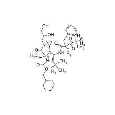 CC[C@]1(C(=O)NCC(O)CO)N(C(=O)OCC2CCCCC2)C(C(C)(C)C)=C(NC(=O)C(C)(Cc2ccccc2)S(=O)(=O)C(C)(C)C)N1C1CC1